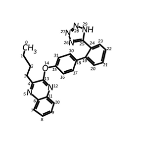 CCCCc1nc2ccccc2nc1Oc1ccc(-c2ccccc2-c2nnn[nH]2)cc1